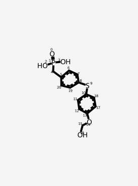 O=P(O)(O)Cc1ccc(Sc2ccc(OCO)cc2)cc1